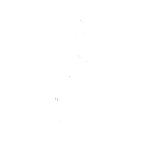 CC(C)(C#N)n1cc(N2Cc3nc(-c4cncc(OC(F)F)c4)ccc3C2=O)cn1